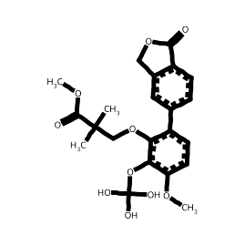 COC(=O)C(C)(C)COc1c(-c2ccc3c(c2)COC3=O)ccc(OC)c1OC(O)(O)O